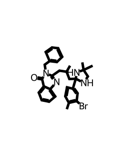 Cc1ccc(C2(CC(C)Cc3nc4ccccc4c(=O)n3Cc3ccccc3)NCC(C)(C)N2)cc1Br